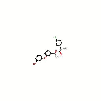 CC(C)C(C(=O)OC(C#N)c1cccc(Oc2cccc(Br)c2)c1)c1ccc(Cl)cc1